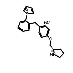 C1=C[SH](c2ccccc2Cc2ccc(OC[C@H]3CCCN3)cc2)C=C1.Cl